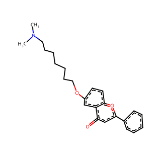 CN(C)CCCCCCCOc1ccc2oc(-c3ccccc3)cc(=O)c2c1